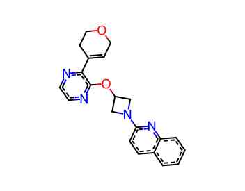 C1=C(c2nccnc2OC2CN(c3ccc4ccccc4n3)C2)CCOC1